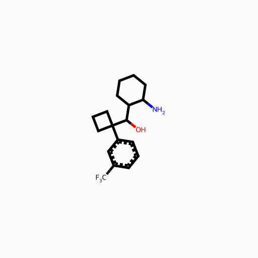 NC1CCCCC1C(O)C1(c2cccc(C(F)(F)F)c2)CCC1